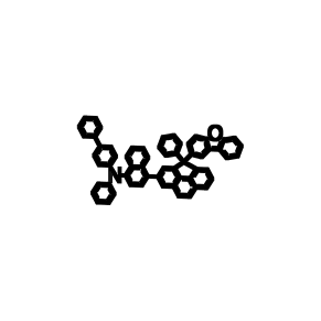 c1ccc(-c2ccc(N(c3ccccc3)c3ccc(-c4cc5c6c(ccc7cccc(c76)C5(c5ccccc5)c5ccc6oc7ccccc7c6c5)c4)c4ccccc34)cc2)cc1